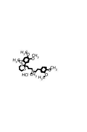 COc1ccc(CCN(C)CCCC2(c3cc(OC)c(OC)cc3OC)SCCCS2)cc1OC.Cl